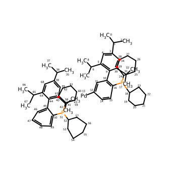 CC(C)c1cc(C(C)C)c(-c2c[c]([Pd])ccc2P(C2CCCCC2)C2CCCCC2)c(C(C)C)c1.CC(C)c1cc(C(C)C)c(-c2ccccc2P(C2CCCCC2)C2CCCCC2)c(C(C)C)c1